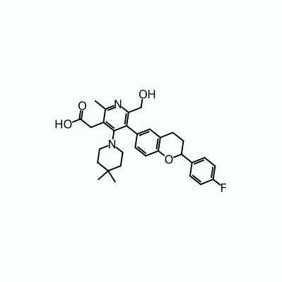 Cc1nc(CO)c(-c2ccc3c(c2)CCC(c2ccc(F)cc2)O3)c(N2CCC(C)(C)CC2)c1CC(=O)O